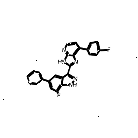 Fc1ccc(-c2ccnc3[nH]c(-c4n[nH]c5c(F)cc(-c6cccnc6)cc45)nc23)cc1